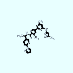 Cc1cc(Nc2cc(C)[nH]n2)nc(-c2cnc(C(=O)NC(C)c3ccc(-n4cccn4)nc3)c(C)c2)n1